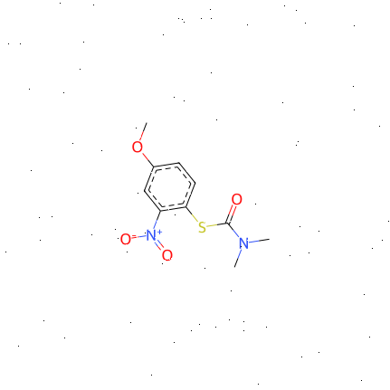 COc1ccc(SC(=O)N(C)C)c([N+](=O)[O-])c1